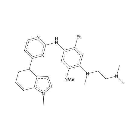 CCc1cc(N(C)CCN(C)C)c(NC)cc1Nc1nccc(C2CC=Cc3c2ccn3C)n1